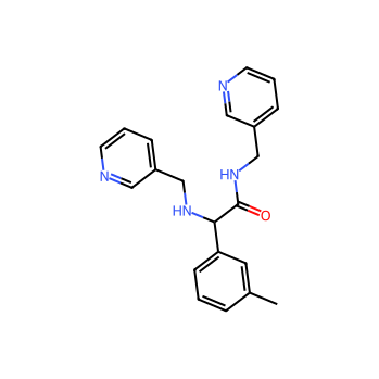 Cc1cccc(C(NCc2cccnc2)C(=O)NCc2cccnc2)c1